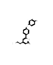 Cc1cc(CCO)cc(-c2ccc(Oc3ccc(C(F)(F)F)cc3)cc2)n1